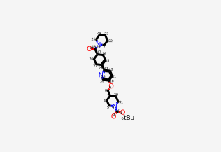 CC(C)(C)OC(=O)N1CCC(COc2ccc(C3=CCC(C(=O)N4CCCCC4)CC3)nc2)CC1